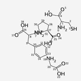 NC(CS)C(=O)O.NC(Cc1ccccc1)C(=O)O.NCC(=O)O.O=C(O)[C@@H]1CCCN1